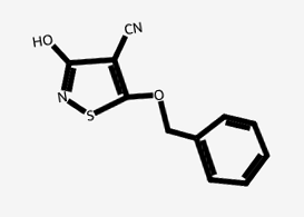 N#Cc1c(O)nsc1OCc1ccccc1